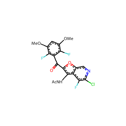 COc1cc(OC)c(F)c(C(=O)c2oc3cnc(Cl)c(F)c3c2NC(C)=O)c1F